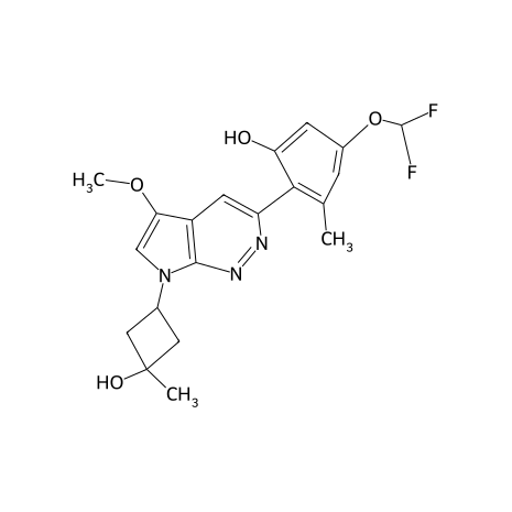 COc1cn(C2CC(C)(O)C2)c2nnc(-c3c(C)cc(OC(F)F)cc3O)cc12